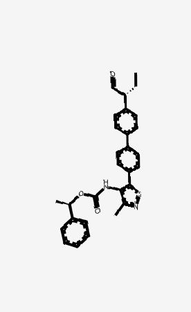 CC[C@@H](C=O)c1ccc(-c2ccc(-c3snc(C)c3NC(=O)O[C@H](C)c3ccccc3)cc2)cc1